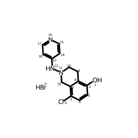 Br.Oc1ccc(Cl)c2c1CCN(Nc1ccncc1)C2